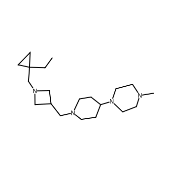 CCC1(CN2CC(CN3CCC(N4CCN(C)CC4)CC3)C2)CC1